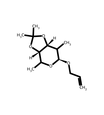 C=CCO[C@H]1OC(C)[C@@H]2OC(C)(C)O[C@@H]2C1C